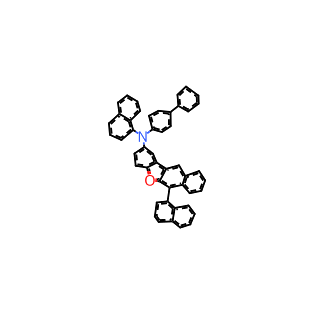 c1ccc(-c2ccc(N(c3ccc4oc5c(-c6cccc7ccccc67)c6ccccc6cc5c4c3)c3cccc4ccccc34)cc2)cc1